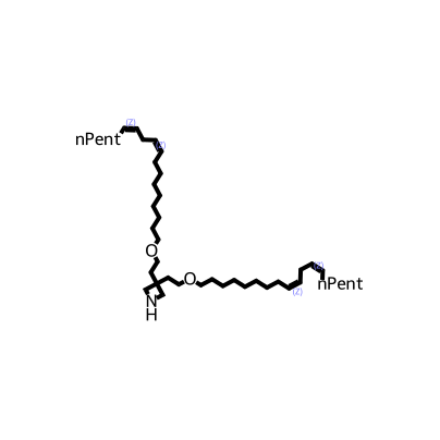 CCCCC/C=C\C/C=C\CCCCCCCCOCCC1(CCOCCCCCCCC/C=C\C/C=C\CCCCC)CNC1